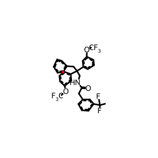 CC(F)(F)c1cccc(CC(=O)NCC(Cc2ccccc2)(c2cccc(OC(F)(F)F)c2)c2cccc(OC(F)(F)F)c2)c1